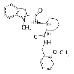 COc1ccccc1CNC(=O)[C@@H]1CCCC[C@@H]1NC(=O)c1cc2ccccc2n1C